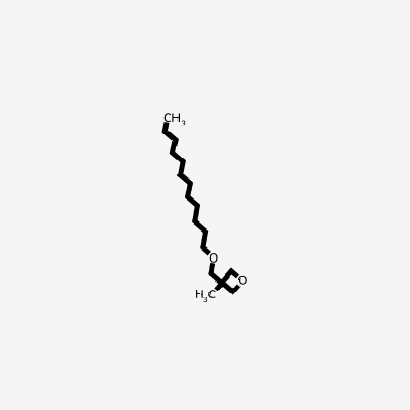 CCCCCCCCCCCCOCC1(C)COC1